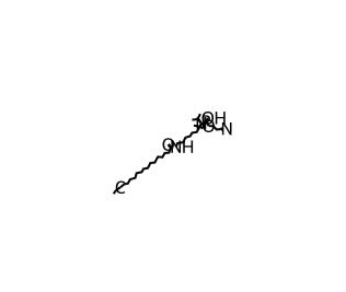 CCCCCCCCCCCCCCCCCC(=O)NCCCCCCC(C)(C)N(C(C)C)P(O)OCCC#N